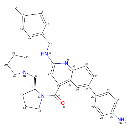 Cc1ccc(CNc2cc(C(=O)N3CCC[C@H]3CN3CCCC3)c3cc(-c4ccc(N)cc4)ccc3n2)cc1